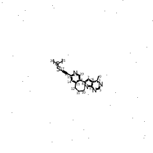 Cc1ncnc2c1cc1n2CCCc2cc(C#CSP(I)I)ncc2-1